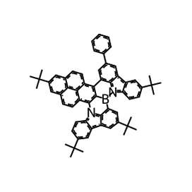 CC(C)(C)c1cc2ccc3c4c5c(c6ccc(c1)c2c36)-n1c2ccc(C(C)(C)C)cc2c2cc(C(C)(C)C)cc(c21)B5n1c2ccc(C(C)(C)C)cc2c2cc(-c3ccccc3)cc-4c21